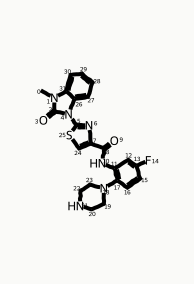 Cn1c(=O)n(-c2nc(C(=O)Nc3cc(F)ccc3N3CCNCC3)cs2)c2ccccc21